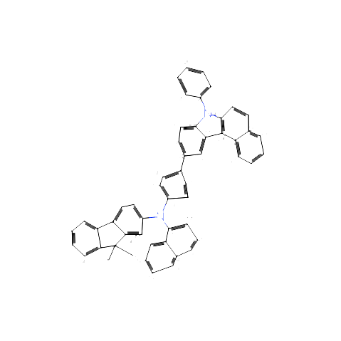 CC1(C)c2ccccc2-c2ccc(N(c3ccc(-c4ccc5c(c4)c4c6ccccc6ccc4n5-c4ccccc4)cc3)c3cccc4ccccc34)cc21